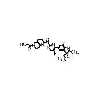 CCC1(C)C(C)=Nc2c(F)cc(-c3nc(Nc4ccc5c(n4)CCN(C(=O)CO)C5)ncc3F)cc21